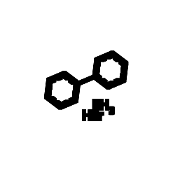 B.Br.c1ccc(-c2ccccc2)cc1